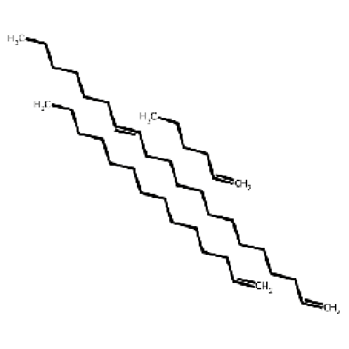 C=CCCCC.C=CCCCCCCCCCCC=CCCCCCC.C=CCCCCCCCCCCCC